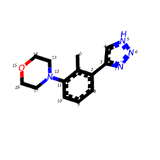 Cc1c(-c2c[nH]nn2)[c]ccc1N1CCOCC1